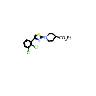 CCOC(=O)C1CCN(c2nc(-c3cccc(Cl)c3Cl)cs2)CC1